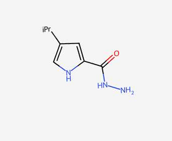 CC(C)c1c[nH]c(C(=O)NN)c1